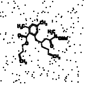 C=CCCOC(=O)c1c(C)cc(C)cc1CC(CCC=C)CC(=O)N(C)OC